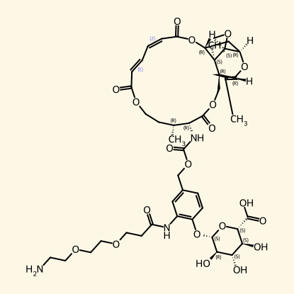 CC1=C[C@H]2O[C@@H]3C[C@H]4OC(=O)/C=C\C=C\C(=O)OCC[C@@H](C)[C@@H](NC(=O)OCc5ccc(O[C@@H]6O[C@H](C(=O)O)[C@@H](O)[C@H](O)[C@H]6O)c(NC(=O)CCOCCOCCN)c5)C(=O)OC[C@@]2(CC1)[C@]4(C)[C@]31CO1